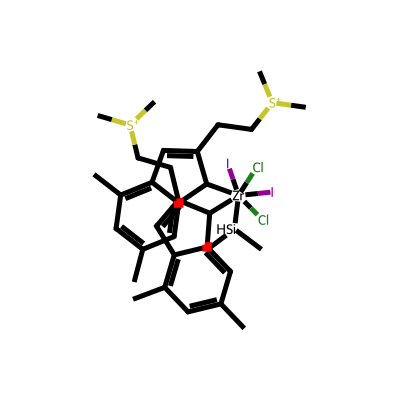 Cc1cc(C)c2c(c1)[CH]([Zr]([Cl])([Cl])([I])([I])([CH]1C(CC[S+](C)C)=Cc3c(C)cc(C)cc31)[SiH](C)C)C(CC[S+](C)C)=C2